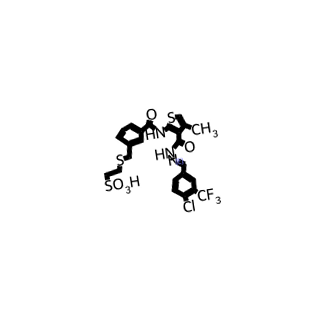 Cc1csc(NC(=O)c2cccc(CSCCS(=O)(=O)O)c2)c1C(=O)N/N=C/c1ccc(Cl)c(C(F)(F)F)c1